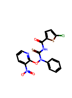 O=C(NC(=S)N(Oc1ncccc1[N+](=O)[O-])c1ccccc1)c1ccc(Cl)s1